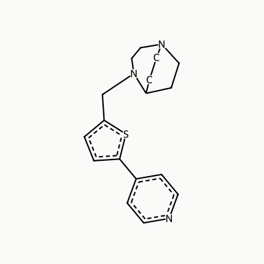 c1cc(-c2ccc(CN3CCN4CCC3CC4)s2)ccn1